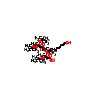 CC(C)(C)OOC(C)(CC(=O)O)OOC(C)(C)C.CC(C)(C)OOC(C)(CC(=O)O)OOC(C)(C)C.OCCCCCCO